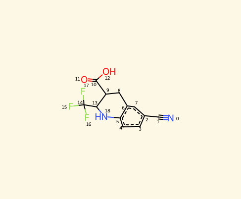 N#Cc1ccc2c(c1)CC(C(=O)O)C(C(F)(F)F)N2